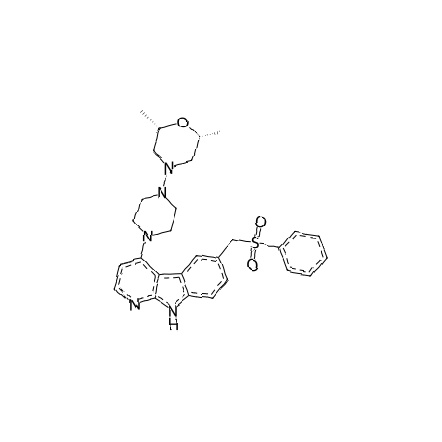 C[C@@H]1CN(N2CCN(c3ccnc4[nH]c5ccc(CS(=O)(=O)c6ccccc6)cc5c34)CC2)C[C@H](C)O1